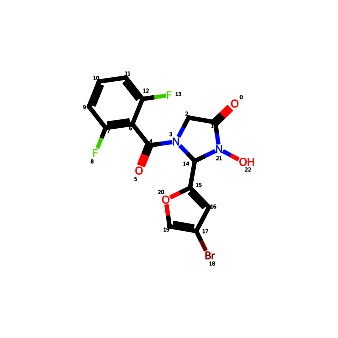 O=C1CN(C(=O)c2c(F)cccc2F)C(c2cc(Br)co2)N1O